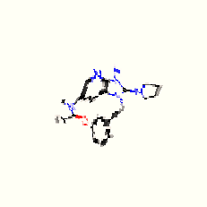 CC(C)C(=O)N(C)c1cnc2c(c1)N(Cc1ccccc1)C(N1CCCC1)N2